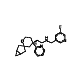 Fc1cncc(CNCC[C@]2(c3ccccn3)CCOC3(CC4CC4C3)C2)c1